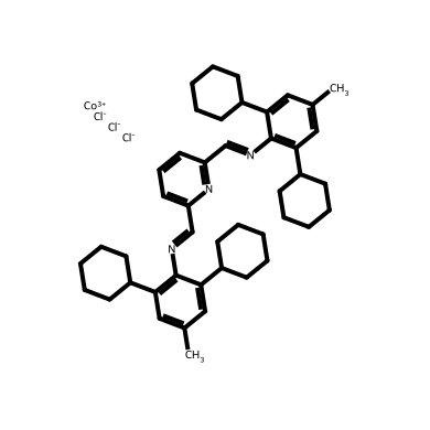 Cc1cc(C2CCCCC2)c(N=Cc2cccc(C=Nc3c(C4CCCCC4)cc(C)cc3C3CCCCC3)n2)c(C2CCCCC2)c1.[Cl-].[Cl-].[Cl-].[Co+3]